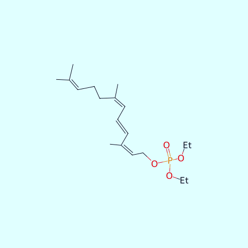 CCOP(=O)(OCC)OCC=C(C)C=CC=C(C)CCC=C(C)C